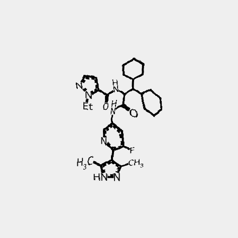 CCn1nccc1C(=O)NC(C(=O)Nc1cnc(-c2c(C)n[nH]c2C)c(F)c1)C(C1CCCCC1)C1CCCCC1